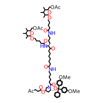 COc1ccc(C(OC[C@@H]2C[C@@H](OC(=O)CCC(C)=O)CN2C(=O)CCCCCNC(=O)CCCCCCC(=O)[C@H](CCCCNC(=O)CCCCOC2OC(COC(C)=O)C(C)C(C)C2C)NC(=O)CCCCOC2OC(COC(C)=O)C(C)C(C)C2C)(c2ccccc2)c2ccc(OC)cc2)cc1